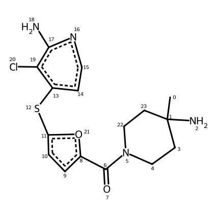 CC1(N)CCN(C(=O)c2ccc(Sc3ccnc(N)c3Cl)o2)CC1